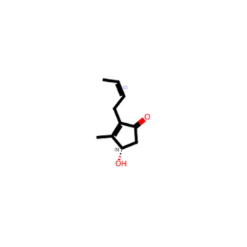 C/C=C\CC1=C(C)[C@@H](O)CC1=O